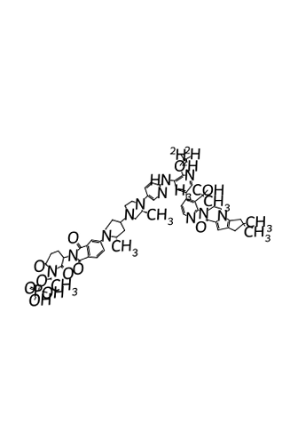 [2H]C([2H])([2H])Oc1ncc(-c2ccnc(N3CCn4c(cc5c4CC(C)(C)C5)C3=O)c2C(C)(C)O)cc1Nc1ccc(N2CCN(C3CCN(c4ccc5c(c4)C(=O)N(C4CCC(=O)N(C(C)OP(=O)(O)O)C4=O)C5=O)[C@@H](C)C3)C[C@@H]2C)cn1